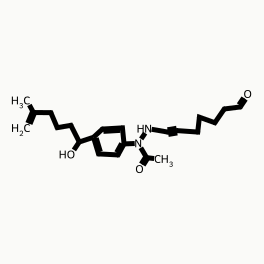 C=C(C)CCCC(O)c1ccc(N(NC#CCCCCC=O)C(C)=O)cc1